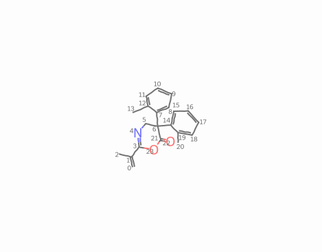 C=C(C)C1=NCC(c2ccccc2C)(c2ccccc2C)C(=O)O1